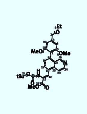 CCOCc1cc(OC)c(-c2ccc(/C=C(\NC(=O)OC(C)(C)C)C(=O)OC)c3ccncc23)c(OC)c1